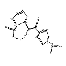 O=C1CCNC(C(=O)c2ccc([N+](=O)[O-])cc2)c2ccccc21